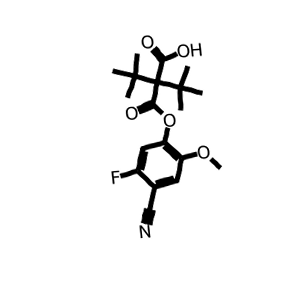 COc1cc(C#N)c(F)cc1OC(=O)C(C(=O)O)(C(C)(C)C)C(C)(C)C